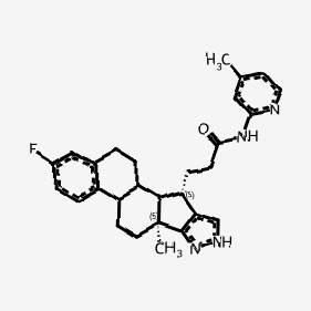 Cc1ccnc(NC(=O)CC[C@@H]2c3c[nH]nc3[C@@]3(C)CCC4c5ccc(F)cc5CCC4C23)c1